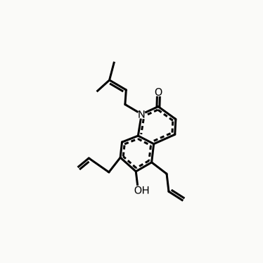 C=CCc1cc2c(ccc(=O)n2CC=C(C)C)c(CC=C)c1O